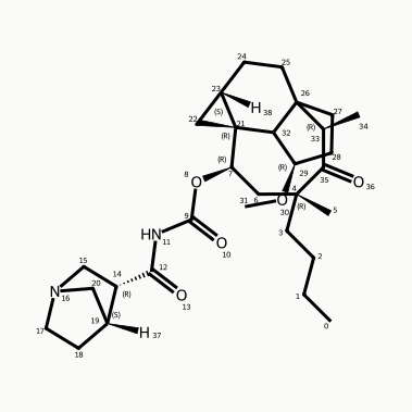 CCCC[C@]1(C)C[C@@H](OC(=O)NC(=O)[C@H]2CN3CC[C@@H]2C3)[C@]23C[C@@H]2CCC2(CC[C@@H](OC)C23)[C@@H](C)C1=O